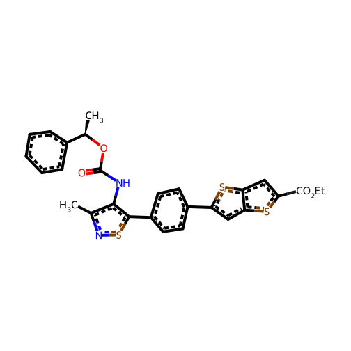 CCOC(=O)c1cc2sc(-c3ccc(-c4snc(C)c4NC(=O)O[C@H](C)c4ccccc4)cc3)cc2s1